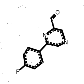 O=Cc1cncc(-c2ccc(F)cc2)n1